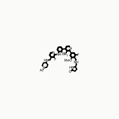 COc1cc(-c2nccc(-c3cccc(Nc4nccc(CNC5CCN(C(C)=O)CC5)c4F)c3C)c2Cl)cc(F)c1CNCC1CCC(=O)N1